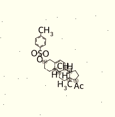 CC(=O)[C@H]1CC[C@H]2[C@@H]3CC=C4C[C@@H](OS(=O)(=O)c5ccc(C)cc5)CC[C@]4(C)[C@H]3CC[C@]12C